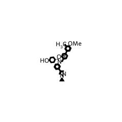 COc1ccc(C23CCC(CN(c4cccc(-c5cnn(C6CC6)c5)c4)C(=O)[C@H]4CC[C@H](O)CC4)(CC2)CC3)cc1C